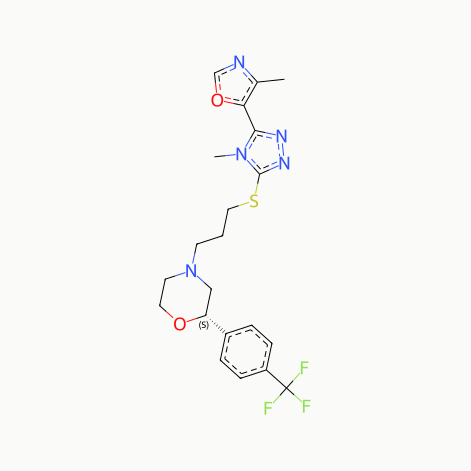 Cc1ncoc1-c1nnc(SCCCN2CCO[C@@H](c3ccc(C(F)(F)F)cc3)C2)n1C